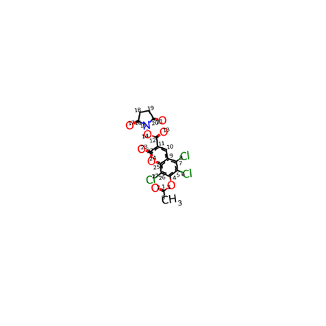 CC(=O)Oc1c(Cl)c(Cl)c2cc(C(=O)ON3C(=O)CCC3=O)c(=O)oc2c1Cl